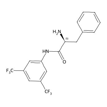 N[C@@H](Cc1ccccc1)C(=O)Nc1cc(C(F)(F)F)cc(C(F)(F)F)c1